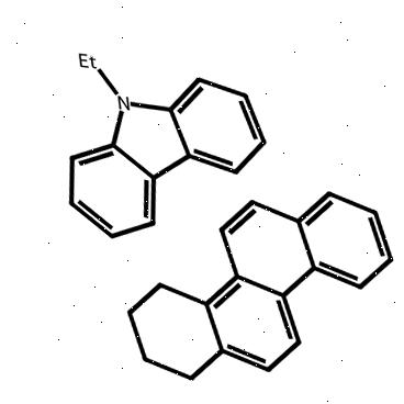 CCn1c2ccccc2c2ccccc21.c1ccc2c(c1)ccc1c3c(ccc12)CCCC3